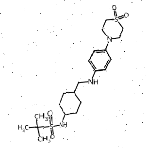 CC(C)(C)S(=O)(=O)NC1CCC(CNc2ccc(N3CCS(=O)(=O)CC3)cc2)CC1